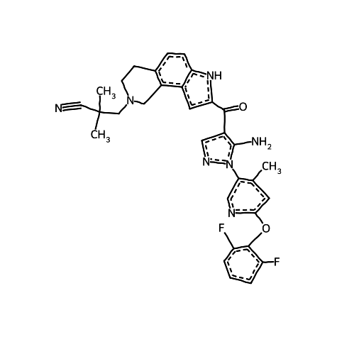 Cc1cc(Oc2c(F)cccc2F)ncc1-n1ncc(C(=O)c2cc3c4c(ccc3[nH]2)CCN(CC(C)(C)C#N)C4)c1N